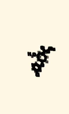 C[C@H]1CC(Oc2cncc(Cl)n2)CCN(C(=O)OC(C)(C)C)C1